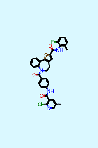 Cc1cnc(Cl)c(C(=O)Nc2ccc(C(=O)N3CCc4cc(C(=O)Nc5c(C)cccc5F)sc4-c4ccccc43)cc2)c1